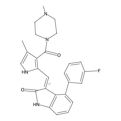 Cc1c[nH]c(/C=C2\C(=O)Nc3cccc(-c4cccc(F)c4)c32)c1C(=O)N1CCN(C)CC1